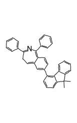 CC1(C)c2ccccc2-c2c(-c3ccc4c(c3)=CCC(c3ccccc3)=NC=4c3ccccc3)cccc21